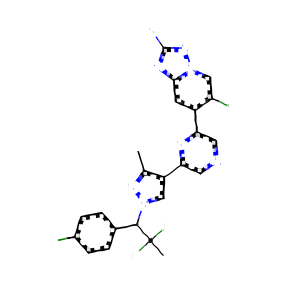 Cc1nn(C(c2ccc(F)cc2)C(C)(F)F)cc1-c1cncc(-c2cc3nc(N)nn3cc2F)n1